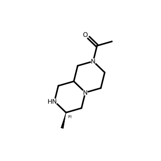 CC(=O)N1CCN2C[C@@H](C)NCC2C1